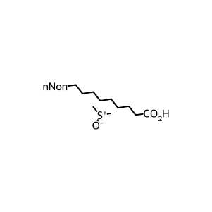 CCCCCCCCCCCCCCCCCC(=O)O.C[S+](C)[O-]